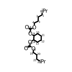 CC(C)CCCCOC(=O)OC1CCCCC1OC(=O)OCCCC(C)C